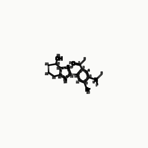 CC(=O)c1cc(N(C)C)c(Br)cc1-c1nc2c(s1)C(O)CCC2